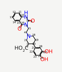 O=C(O)C1CN(CCn2c(=O)[nH]c3ccccc3c2=O)CCC1c1ccc(O)c(O)c1